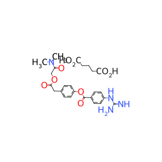 CN(C)C(=O)COC(=O)Cc1ccc(OC(=O)c2ccc(NC(=N)N)cc2)cc1.O=C(O)CCCC(=O)O